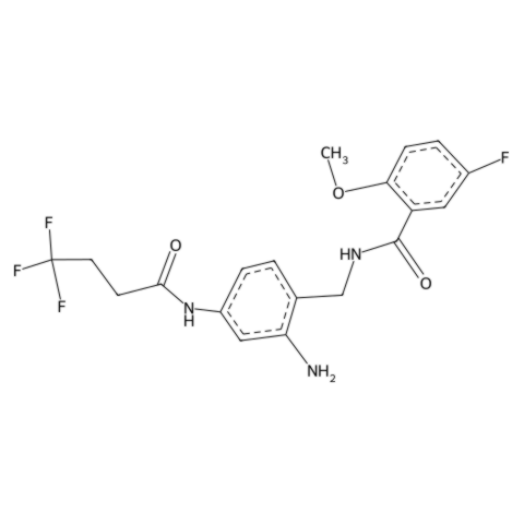 COc1ccc(F)cc1C(=O)NCc1ccc(NC(=O)CCC(F)(F)F)cc1N